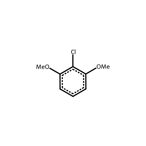 COc1cccc(OC)c1Cl